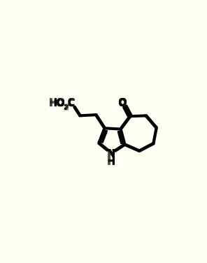 O=C(O)CCc1c[nH]c2c1C(=O)CCCC2